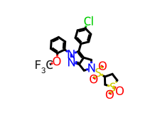 O=S1(=O)CCC(S(=O)(=O)N2Cc3nn(-c4ccccc4OC(F)(F)F)c(-c4ccc(Cl)cc4)c3C2)C1